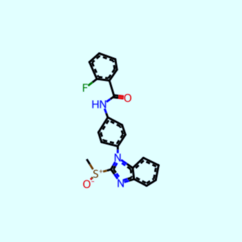 C[S+]([O-])c1nc2ccccc2n1-c1ccc(NC(=O)c2ccccc2F)cc1